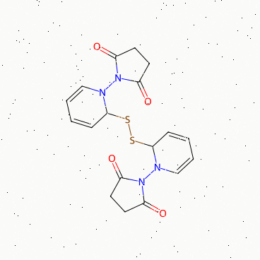 O=C1CCC(=O)N1N1C=CC=CC1SSC1C=CC=CN1N1C(=O)CCC1=O